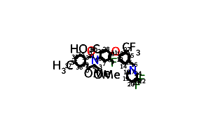 COCC(COC)N(c1cc(F)c(Oc2ccc(CN3CCCC(F)(F)C3)cc2C(F)(F)F)cc1C(=O)O)C(=O)[C@H]1CC[C@H](C)CC1